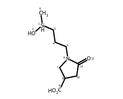 C[SiH](O)CCCN1CC(C(=O)O)CC1=O